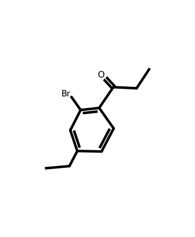 CCC(=O)c1ccc(CC)cc1Br